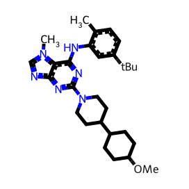 COC1CCC(C2CCN(c3nc(Nc4cc(C(C)(C)C)ccc4C)c4c(ncn4C)n3)CC2)CC1